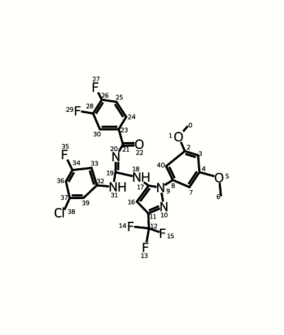 COc1cc(OC)cc(-n2nc(C(F)(F)F)cc2N/C(=N\C(=O)c2ccc(F)c(F)c2)Nc2cc(F)cc(Cl)c2)c1